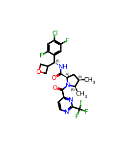 C[C@@H]1C[C@H](C(=O)N[C@@H](c2cc(F)c(Cl)cc2F)C2COC2)N(C(=O)c2ccnc(C(F)(F)F)n2)[C@@H]1C